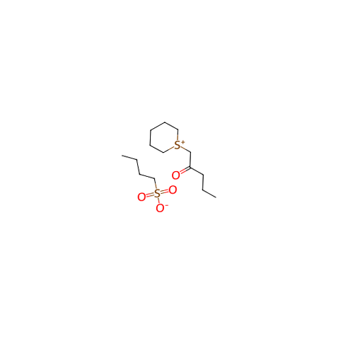 CCCC(=O)C[S+]1CCCCC1.CCCCS(=O)(=O)[O-]